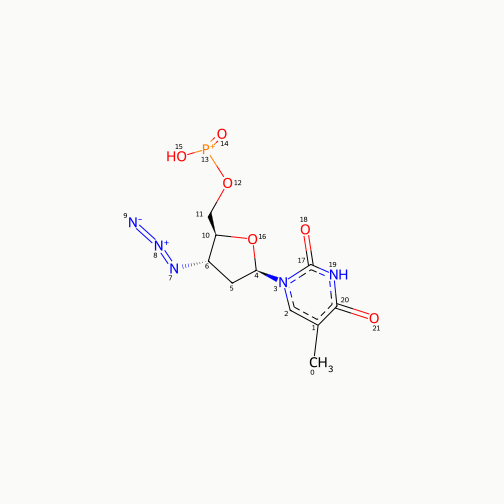 Cc1cn([C@H]2C[C@H](N=[N+]=[N-])[C@@H](CO[P+](=O)O)O2)c(=O)[nH]c1=O